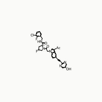 CC(=O)c1cn(CC(=O)N2C[C@H](F)C[C@H]2C(=O)NCc2cccc(Cl)c2F)c2ccc(C#Cc3ncc(O)cn3)cc12